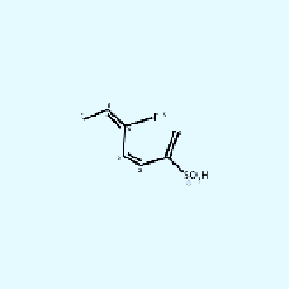 C=C(/C=C\C(F)=C/C)S(=O)(=O)O